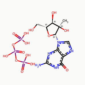 C[C@@]1(O)[C@H](O)[C@@H](CO)O[C@H]1n1cnc2c(=O)[nH]c(N)nc21.O=P(O)(O)OP(=O)(O)OP(=O)(O)O